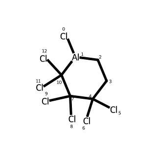 [Cl][Al]1[CH2]CC(Cl)(Cl)C(Cl)(Cl)[C]1(Cl)Cl